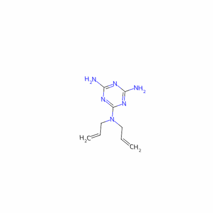 C=CCN(CC=C)c1nc(N)nc(N)n1